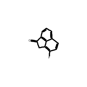 O=C1Cc2c(F)ccc3cccc1c23